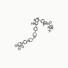 CC(C)(C)c1noc(C(=O)NCc2ccc(-c3ncnc4[nH]c(-c5ccc(C6CCN(CC7CCN(c8ccc(N9CCC(=O)NC9=O)cc8)CC7)CC6)cc5)cc34)cc2F)n1